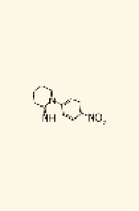 N=C1CCCCN1c1ccc([N+](=O)[O-])cc1